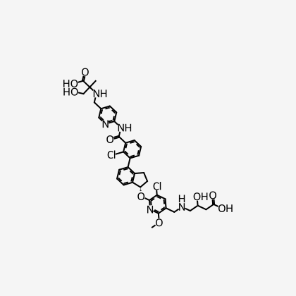 COc1nc(O[C@H]2CCc3c(-c4cccc(C(=O)Nc5ccc(CNC(C)(CO)C(=O)O)cn5)c4Cl)cccc32)c(Cl)cc1CNCC(O)CC(=O)O